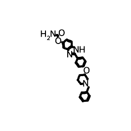 NC(=O)Oc1ccc2[nH]c(-c3ccc(OC4CCCN(Cc5ccccc5)C4)cc3)nc2c1